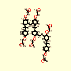 CC(C)(c1ccc(OCC2CO2)cc1)c1ccc(OCC2CO2)c(CCc2cc(C(C)(C)c3ccc(OCC4CO4)cc3Cc3cc(OCC4CO4)ccc3C(C)(C)c3ccc(OCC4CO4)cc3)ccc2OCC2CO2)c1